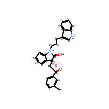 Cc1cccc(C(=O)C[C@]2(O)C(=O)N(CCCc3c[nH]c4ccccc34)c3ccccc32)c1